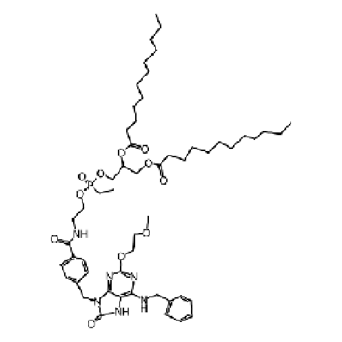 CCCCCCCCCCCC(=O)OCC(COP(=O)(CC)OCCNC(=O)c1ccc(Cn2c(=O)[nH]c3c(NCc4ccccc4)nc(OCCOC)nc32)cc1)OC(=O)CCCCCCCCCCC